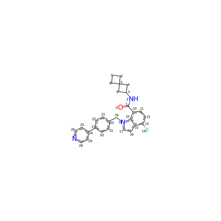 O=C(NC1CC2(CCC2)C1)c1ccc(F)c2ccn(Cc3ccc(-c4ccncc4)cc3)c12